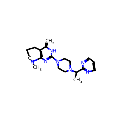 C=C1NC(N2CCN(C(C)c3ncccn3)CC2)=NC2=C1CCCN2C